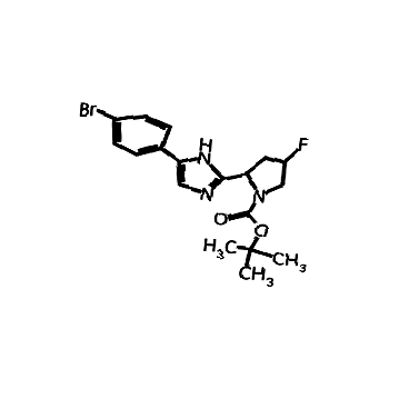 CC(C)(C)OC(=O)N1CC(F)CC1c1ncc(-c2ccc(Br)cc2)[nH]1